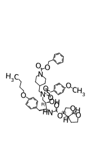 CCCCOc1ccc(C[C@H](NC(=O)O[C@H]2CO[C@H]3OCC[C@H]32)[C@H](O)CN(CC2CCN(C(=O)OCc3ccccc3)CC2)S(=O)(=O)c2ccc(OC)cc2)cc1